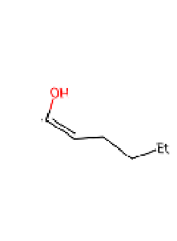 CCCC/C=[C]\O